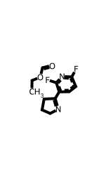 CCOC=O.Fc1ccc(C2=NCCC2)c(F)n1